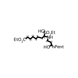 CCCCCC(O)CCNC(CCCCCCC(=O)OCC)C(=O)OCC.Cl